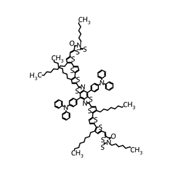 CCCCCCCCc1cc(/C=C2\SC(=S)N(CCCCCCC)C2=O)sc1-c1ccc(-c2sc(-c3nc4c(-c5ccc(N(c6ccccc6)c6ccccc6)cc5)c5sc(-c6cc(CCCCCCCC)c(-c7ccc(-c8sc(/C=C9\SC(=S)N(CCCCCCC)C9=O)cc8CCCCCCCC)s7)s6)nc5c(-c5ccc(N(c6ccccc6)c6ccccc6)cc5)c4s3)cc2CCCCCCCC)s1